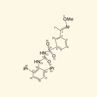 CO/N=C(\C)c1cccc(S(=O)(=O)NC(=O)Nc2c(C(C)C)cccc2C(C)C)c1